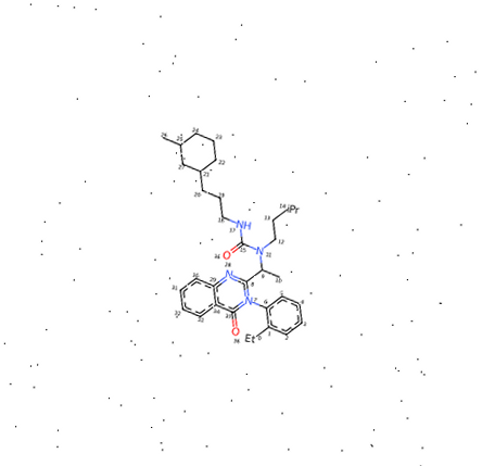 CCc1ccccc1-n1c(C(C)N(CCC(C)C)C(=O)NCCCC2CCCC(C)C2)nc2ccccc2c1=O